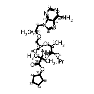 CC(C)OC(=O)[C@H](C)OP(=O)(CO[C@H](C)Cn1cnc2c(N)ncnc21)NC(C)(C)C(=O)OC1CCCC1